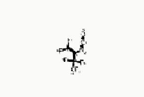 O=C=NC(=C(F)F)C(F)(F)C(F)(F)F